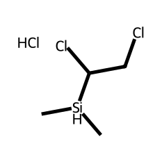 C[SiH](C)C(Cl)CCl.Cl